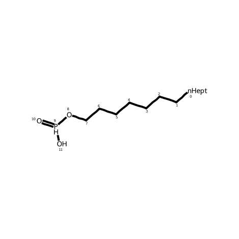 CCCCCCCCCCCCCCO[PH](=O)O